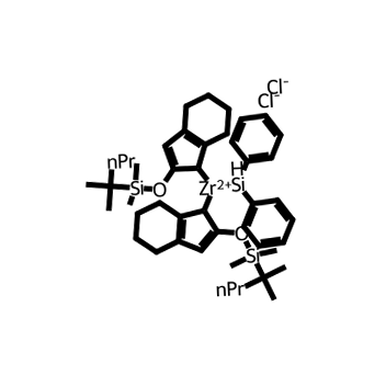 CCCC(C)(C)[Si](C)(C)OC1=CC2=C(CCCC2)[CH]1[Zr+2]([CH]1C(O[Si](C)(C)C(C)(C)CCC)=CC2=C1CCCC2)[SiH](c1ccccc1)c1ccccc1.[Cl-].[Cl-]